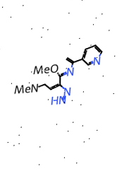 C=C(/N=C(OC)/C(=C\CNC)N=N)c1cccnc1